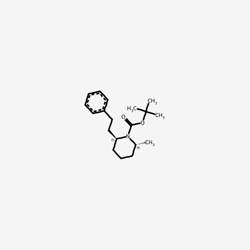 C[C@@H]1CCC[C@@H](CCc2ccccc2)N1C(=O)OC(C)(C)C